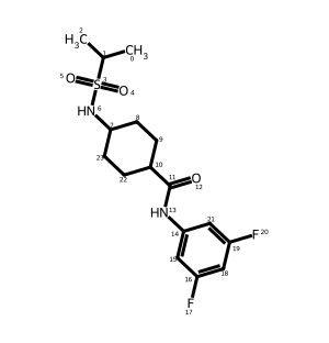 CC(C)S(=O)(=O)NC1CCC(C(=O)Nc2cc(F)cc(F)c2)CC1